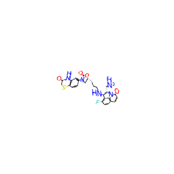 NC[C@H]1[C@H](NCCC[C@@H]2CN(c3ccc4c(c3)NC(=O)CS4)C(=O)O2)c2c(F)ccc3ccc(=O)n1c23